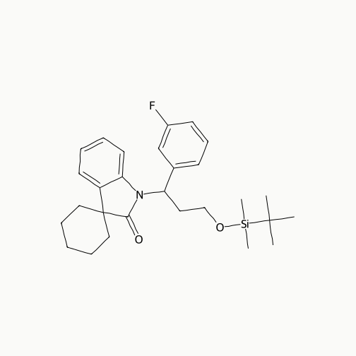 CC(C)(C)[Si](C)(C)OCCC(c1cccc(F)c1)N1C(=O)C2(CCCCC2)c2ccccc21